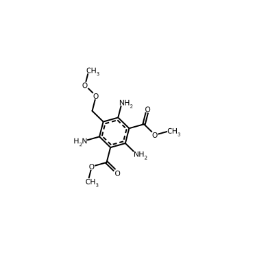 COOCc1c(N)c(C(=O)OC)c(N)c(C(=O)OC)c1N